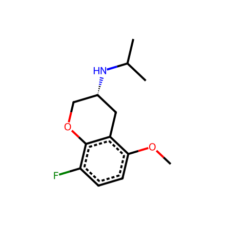 COc1ccc(F)c2c1C[C@@H](NC(C)C)CO2